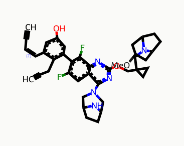 C#C/C=C\c1cc(O)cc(-c2c(F)cc3c(N4CC5CCC(C4)N5)nc(OCC4(CN5C6CCC5CC(OC)C6)CC4)nc3c2F)c1CC#C